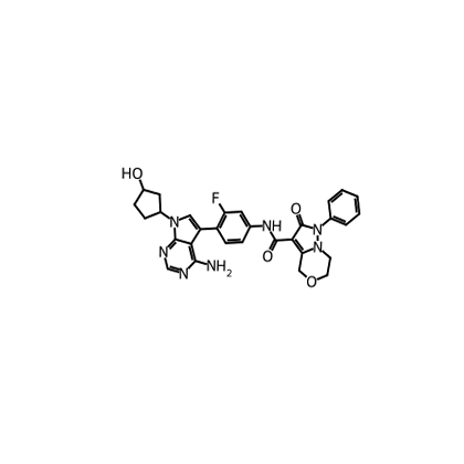 Nc1ncnc2c1c(-c1ccc(NC(=O)c3c4n(n(-c5ccccc5)c3=O)CCOC4)cc1F)cn2C1CCC(O)C1